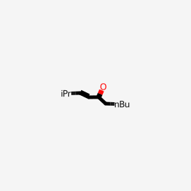 CCCCCC(=O)C=CC(C)C